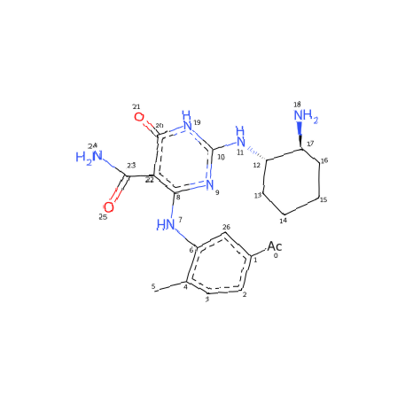 CC(=O)c1ccc(C)c(Nc2nc(N[C@H]3CCCC[C@@H]3N)[nH]c(=O)c2C(N)=O)c1